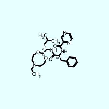 CCN1CCOB([C@H](CC(C)C)NC(=O)[C@H](Cc2ccccc2)NC(=O)c2cnccn2)OCC1